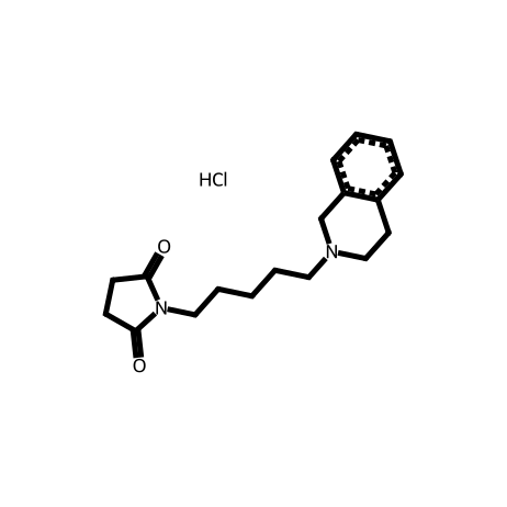 Cl.O=C1CCC(=O)N1CCCCCN1CCc2ccccc2C1